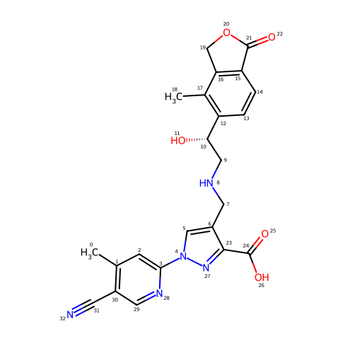 Cc1cc(-n2cc(CNC[C@H](O)c3ccc4c(c3C)COC4=O)c(C(=O)O)n2)ncc1C#N